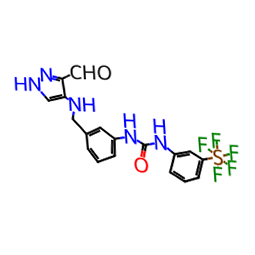 O=Cc1n[nH]cc1NCc1cccc(NC(=O)Nc2cccc(S(F)(F)(F)(F)F)c2)c1